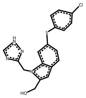 OCc1cc2ccc(Sc3ccc(Cl)cc3)cc2n1Cc1nc[nH]n1